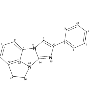 c1ccc(-c2cn3c4cccc5c4n(c3n2)CC5)cc1